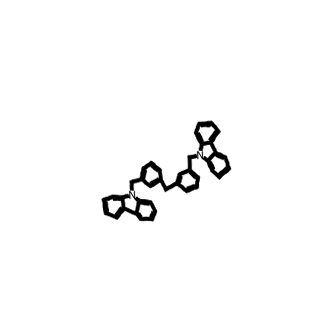 c1cc(Cc2cccc(Cn3c4ccccc4c4ccccc43)c2)cc(Cn2c3ccccc3c3ccccc32)c1